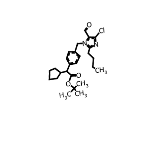 CCCCc1nc(Cl)c(C=O)n1Cc1ccc(C(C(=O)OC(C)(C)C)C2CCCC2)cc1